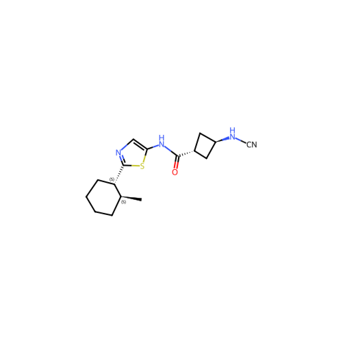 C[C@H]1CCCC[C@@H]1c1ncc(NC(=O)[C@H]2C[C@H](NC#N)C2)s1